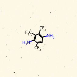 Nc1cc(C(F)(F)F)c(N)c(C(F)(F)F)c1C(F)(F)F